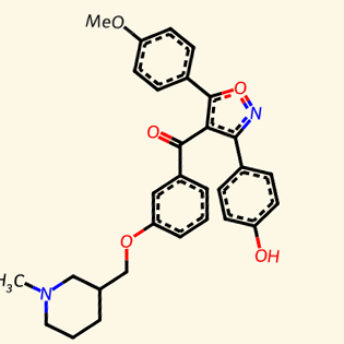 COc1ccc(-c2onc(-c3ccc(O)cc3)c2C(=O)c2cccc(OCC3CCCN(C)C3)c2)cc1